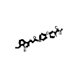 CCc1cccc2c(C=CC(=O)Nc3ccc(Oc4ccnc(C(=O)NC)c4)cc3)c[nH]c12